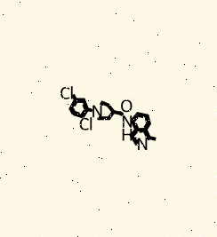 Cc1nccc2c(NC(=O)C3CCN(c4cc(Cl)ccc4Cl)CC3)cccc12